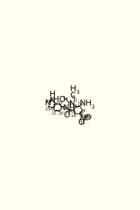 CCN(CCO)c1c(N)cc([N+](=O)[O-])cc1C(=O)Nc1ccc2cn[nH]c2c1